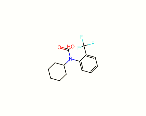 O=C(O)N(c1ccccc1C(F)(F)F)C1CCCCC1